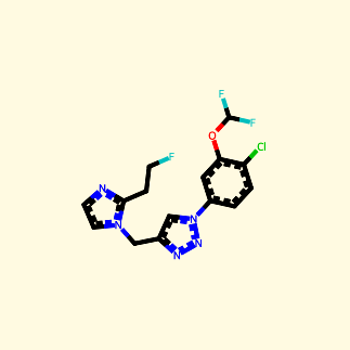 FCCc1nccn1Cc1cn(-c2ccc(Cl)c(OC(F)F)c2)nn1